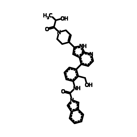 CC(O)C(=O)N1CC=C(c2cc3c(-c4cccc(NC(=O)n5cc6ccccc6c5)c4CO)ccnc3[nH]2)CC1